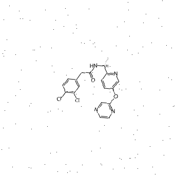 C[C@@H](NC(=O)Cc1ccc(Cl)c(Cl)c1)c1ccc(Oc2cnccn2)cn1